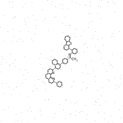 C/C(=N\c1ccccc1-c1cccc2c1sc1ccccc12)c1ccc(-c2ccc(-c3ccc4ccc5ccc(-c6ccccc6)nc5c4n3)c3ccccc23)cc1